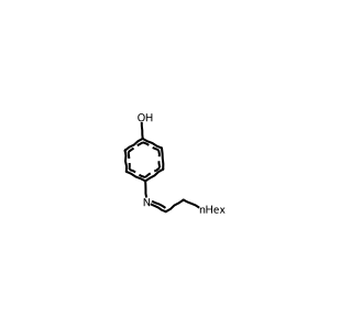 CCCCCCC/C=N\c1ccc(O)cc1